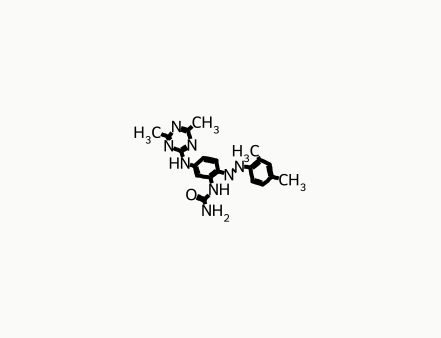 Cc1ccc(/N=N/c2ccc(Nc3nc(C)nc(C)n3)cc2NC(N)=O)c(C)c1